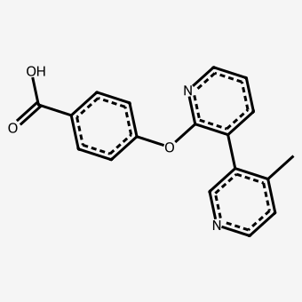 Cc1ccncc1-c1cccnc1Oc1ccc(C(=O)O)cc1